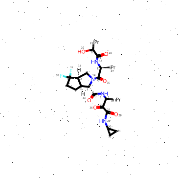 CCCC(NC(=O)[C@@H]1[C@H]2CCC(F)(F)[C@H]2CN1C(=O)[C@@H](NC(=O)C(O)C(C)C)C(C)C)C(=O)C(=O)NC1CC1